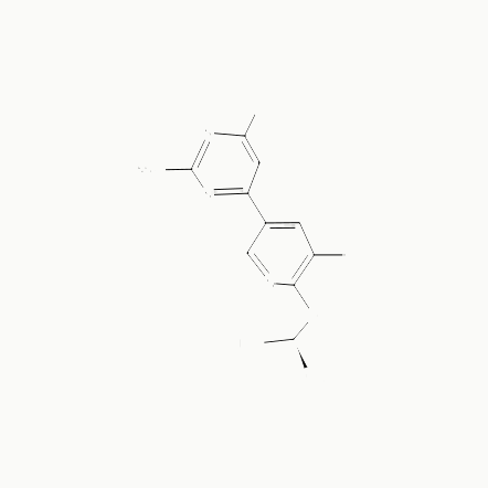 CSc1nc(Cl)cc(-c2cnc(O[C@H](C)C(F)(F)F)c(F)c2)n1